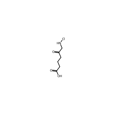 O=C(O)CCCC(=O)CNCl